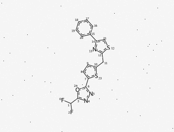 FC(F)c1nnc(-c2ccc(Cc3nc(-c4ccccc4)cs3)s2)o1